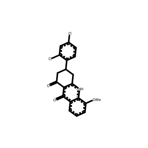 COc1cccc2c(=O)c3c([nH]c12)CC(c1ccc(Cl)cc1Cl)CC3=O